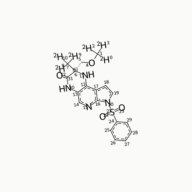 [2H]C([2H])([2H])OC[C@]1(C([2H])([2H])[2H])Nc2c(cnc3c2ccn3S(=O)(=O)c2ccccc2)NC1=O